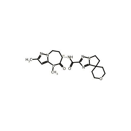 Cc1cc2n(n1)CC[C@H](NC(=O)c1nc3n(n1)CCC31CCOCC1)C(=O)N2C